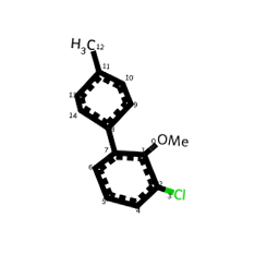 COc1c(Cl)cccc1-c1ccc(C)cc1